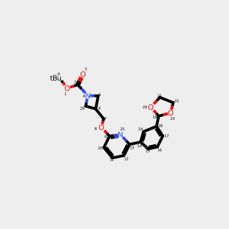 CC(C)(C)OC(=O)N1CC(COc2cccc(-c3cccc(C4OCCO4)c3)n2)C1